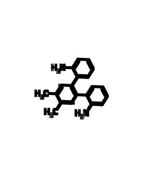 Cc1[c]c(-c2ccccc2N)c(-c2ccccc2N)[c]c1C